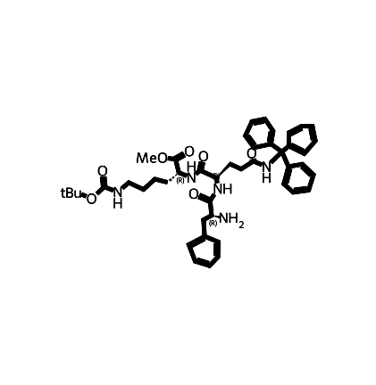 COC(=O)[C@@H](CCCCNC(=O)OC(C)(C)C)NC(=O)[C@@H](CCC(=O)NC(c1ccccc1)(c1ccccc1)c1ccccc1)NC(=O)[C@H](N)Cc1ccccc1